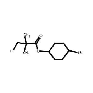 CC(C)CC(C)(C)C(=O)OC1CCC(C(C)(C)C)CC1